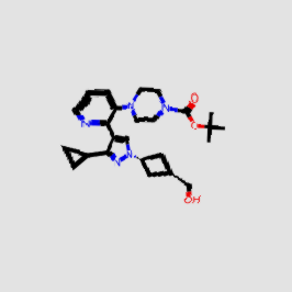 CC(C)(C)OC(=O)N1CCN(c2cccnc2-c2cn([C@H]3C[C@H](CO)C3)nc2C2CC2)CC1